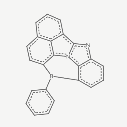 c1ccc(B2c3cccc4nc5c6cccc7ccc2c(c76)n5c34)cc1